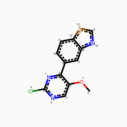 COc1cnc(Cl)nc1-c1ccc2scnc2c1